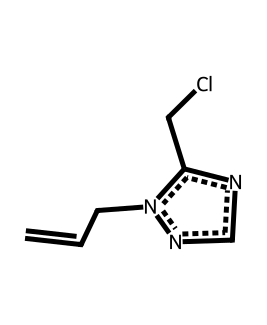 C=CCn1ncnc1CCl